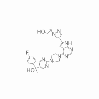 C[C@@H](CO)n1cc(-c2cc3c(N4CCN(c5ncc(C(C)(O)c6ccc(F)cc6)cn5)CC4)ncnc3[nH]2)cn1